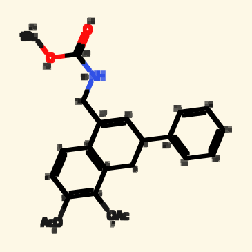 CC(=O)Oc1ccc2c(c1OC(C)=O)CC(c1ccccc1)C=C2CNC(=O)OC(C)(C)C